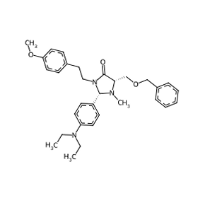 CCN(CC)c1ccc([C@@H]2N(CCc3ccc(OC)cc3)C(=O)[C@H](COCc3ccccc3)N2C)cc1